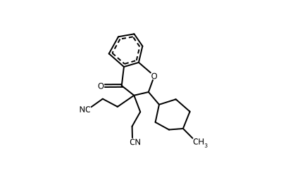 CC1CCC(C2Oc3ccccc3C(=O)C2(CCC#N)CCC#N)CC1